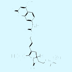 C[C@@H](O[Si](C)(C)C(C)(C)C)[C@H]1C(=O)N2C(C(=O)O)=C(/C=C/COC(=O)Nc3ccc4c(C(F)(F)F)cc(=O)oc4c3)[C@H](C)[C@H]12